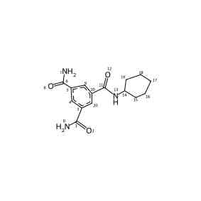 NC(=O)c1cc(C(N)=O)cc(C(=O)NC2CCCCC2)c1